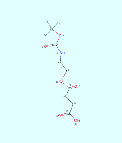 CC(C)(C)OC(=O)NCCOC(=O)CCC(=O)O